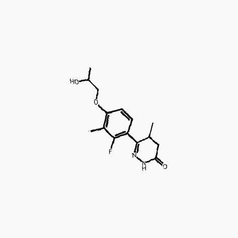 [CH2]c1c(OCC(C)O)ccc(C2=NNC(=O)CC2C)c1F